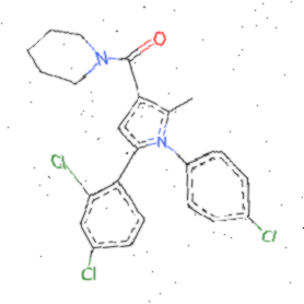 Cc1c(C(=O)N2CCCCC2)cc(-c2ccc(Cl)cc2Cl)n1-c1ccc(Cl)cc1